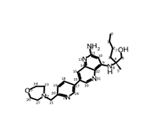 CCCC[C@](C)(CO)Nc1cc(N)nc2cc(-c3ccc(CN4CCOCC4)nc3)cnc12